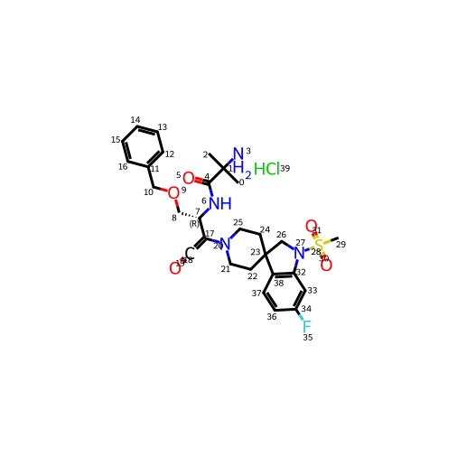 CC(C)(N)C(=O)N[C@@H](COCc1ccccc1)C(=C=O)N1CCC2(CC1)CN(S(C)(=O)=O)c1cc(F)ccc12.Cl